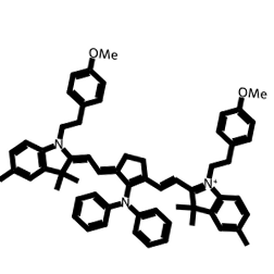 COc1ccc(CCN2/C(=C/C=C3\CCC(/C=C/C4=[N+](CCc5ccc(OC)cc5)c5ccc(C)cc5C4(C)C)=C3N(c3ccccc3)c3ccccc3)C(C)(C)c3cc(C)ccc32)cc1